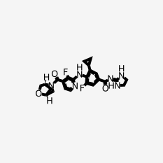 O=C(N=C1NCCN1)c1cc(F)c(Nc2nccc(C(=O)N3C[C@@H]4C[C@H]3CO4)c2F)c(C2CC2)c1